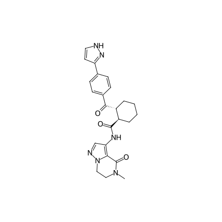 CN1CCn2ncc(NC(=O)[C@@H]3CCCC[C@H]3C(=O)c3ccc(-c4cc[nH]n4)cc3)c2C1=O